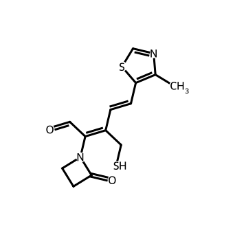 Cc1ncsc1C=C/C(CS)=C(\C=O)N1CCC1=O